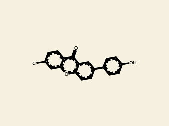 O=c1c2ccc(Cl)cc2oc2ccc(-c3ccc(O)cc3)cc12